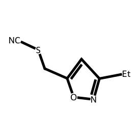 CCc1cc(CSC#N)on1